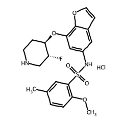 COc1ccc(C)cc1S(=O)(=O)Nc1cc(O[C@@H]2CCNC[C@H]2F)c2occc2c1.Cl